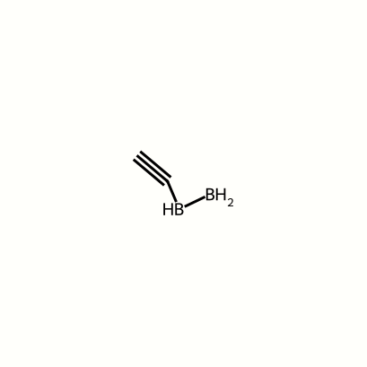 BBC#C